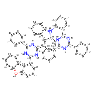 c1ccc(-c2nc(-c3ccccc3)nc(-c3ccccc3-n3c4ccccc4c4c(-c5nc(-c6ccccc6)nc(-c6cccc7oc8ccccc8c67)n5)cccc43)n2)cc1